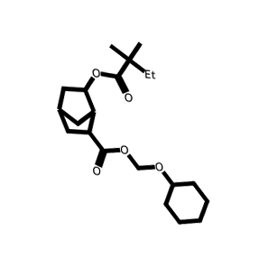 CCC(C)(C)C(=O)OC1CC2CC(C(=O)OCOC3CCCCC3)C1C2